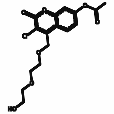 CC(=O)Oc1ccc2c(COCCOCCO)c(Cl)c(=O)oc2c1